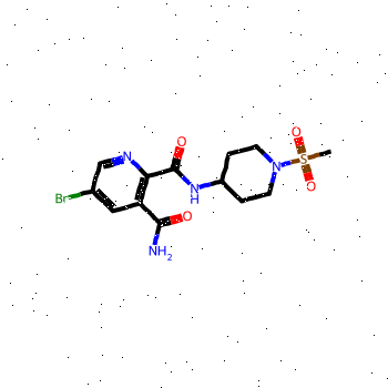 CS(=O)(=O)N1CCC(NC(=O)c2ncc(Br)cc2C(N)=O)CC1